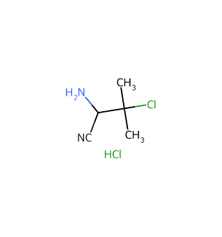 CC(C)(Cl)C(N)C#N.Cl